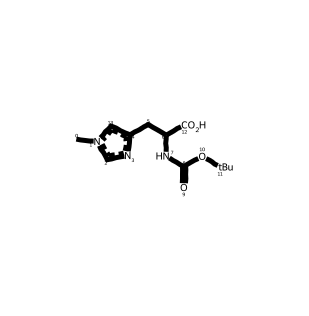 Cn1cnc(CC(NC(=O)OC(C)(C)C)C(=O)O)c1